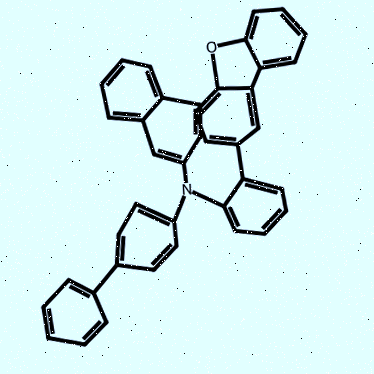 c1ccc(-c2ccc(N(c3ccc4ccccc4c3)c3ccccc3-c3ccc4oc5ccccc5c4c3)cc2)cc1